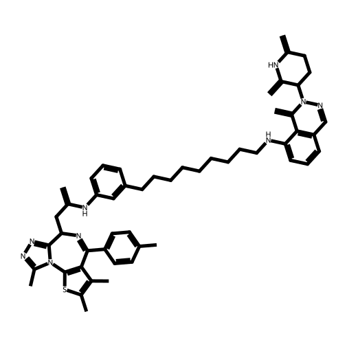 C=C1CCC(N2N=Cc3cccc(NCCCCCCCCCc4cccc(NC(=C)CC5N=C(c6ccc(C)cc6)c6c(sc(C)c6C)-n6c(C)nnc65)c4)c3C2=C)C(=C)N1